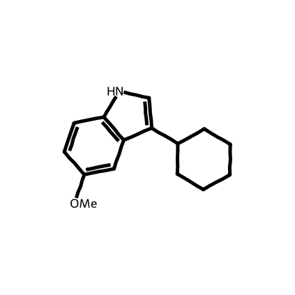 COc1ccc2[nH]cc(C3CCCCC3)c2c1